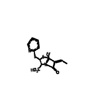 C/C=C1\C(=O)N2C(C(=O)O)C(Sc3ccccn3)S[C@H]12